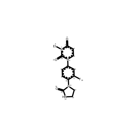 CCn1c(=O)ccn(-c2ccc(N3CCNC3=O)c(F)c2)c1=O